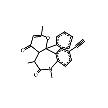 C#Cc1ccc2c(c1)C1(c3ccccc3)OC(C)=CC(=O)C1C(C)C(=O)N2C